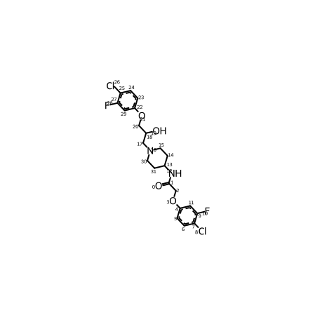 O=C(COc1ccc(Cl)c(F)c1)NC1CCN(CC(O)COc2ccc(Cl)c(F)c2)CC1